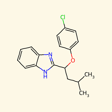 CC(C)CC(Oc1ccc(Cl)cc1)c1nc2ccccc2[nH]1